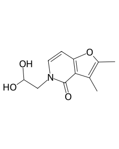 Cc1oc2ccn(CC(O)O)c(=O)c2c1C